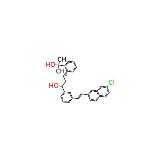 CC(C)(O)c1ccccc1CCC(O)c1cccc(/C=C/c2ccc3ccc(Cl)cc3c2)c1